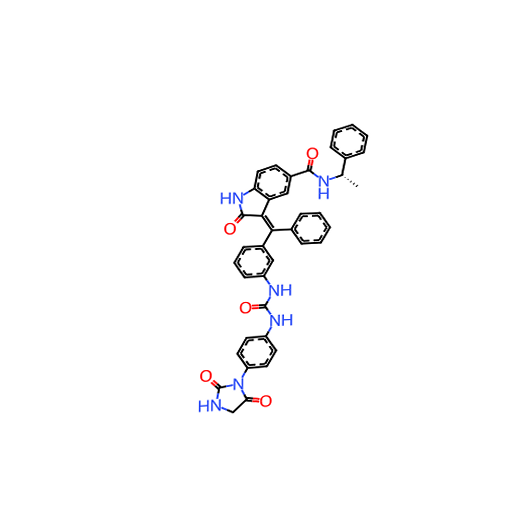 C[C@H](NC(=O)c1ccc2c(c1)/C(=C(\c1ccccc1)c1cccc(NC(=O)Nc3ccc(N4C(=O)CNC4=O)cc3)c1)C(=O)N2)c1ccccc1